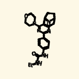 CCNC(=O)Nc1ccc(-c2nc3c(c(N4CCOCC4)n2)C2CCC(C3)N2)cc1